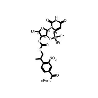 CCCCCC(=O)c1ccc(C(C)COC(=O)OC2[C@@H](CC)O[C@@H](n3ccc(=O)[nH]c3=O)[C@H]2O[Si](C(C)C)(C(C)C)C(C)C)c([N+](=O)[O-])c1